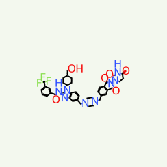 O=C1CCN(N2C(=O)c3ccc(CN4CCN(Cc5ccc6c(c5)nc(NC(=O)c5cccc(C(F)(F)F)c5)n6C5CCC(CO)CC5)CC4)cc3C2=O)C(=O)N1